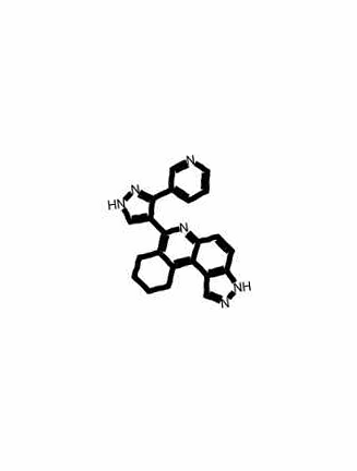 c1cncc(-c2n[nH]cc2-c2nc3ccc4[nH]ncc4c3c3c2CCCC3)c1